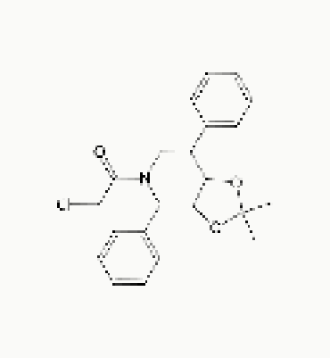 CC1(C)OCC(C(CN(Cc2ccccc2)C(=O)CCl)c2ccccc2)O1